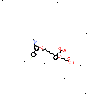 CN(C)Cc1cc(OCCCCCCc2cccc(OCCCC(=O)O)c2CCC(=O)O)cc(-c2ccc(F)cc2)c1